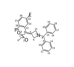 CS(=O)(=O)C(=C1CN(C(c2ccccc2)c2ccccc2)C1)c1cc(F)ccc1F